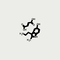 Cc1[nH]c2ccc(O)cc2c1CCN.O=C(O)C=CC(=O)O